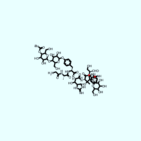 CCC(C)C(=O)OC1C(CO)OC(OC2C(CO)OC(Oc3ccc(C[C@H](NC(=O)[C@H](C)NC(=O)CN)C(=O)N[C@H](C(=O)N[C@H](C(=O)N(c4ccccc4)[C@H]([C]=O)CO)C(C)(O)C4CNC(=N)N4C4OC(CO)C(O)C(O)C4O)C(O)C4CNC(=N)N4)cc3)C(O)C2O)C(O)C1O